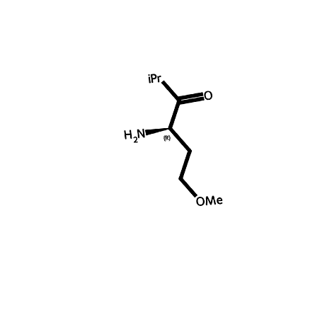 COCC[C@@H](N)C(=O)C(C)C